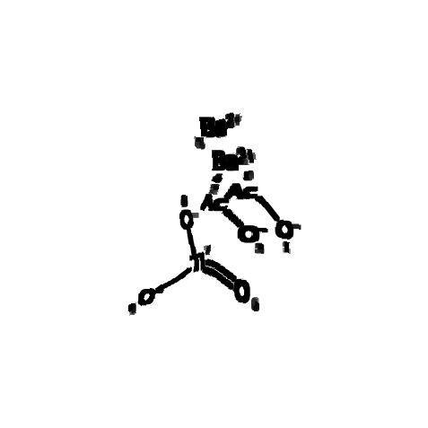 CC(=O)[O-].CC(=O)[O-].[Ba+2].[Ba+2].[O]=[Ti]([O-])[O-]